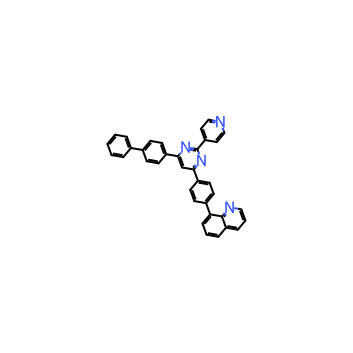 c1ccc(-c2ccc(-c3cc(-c4ccc(-c5cccc6cccnc56)cc4)nc(-c4ccncc4)n3)cc2)cc1